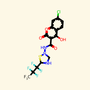 O=C(NN1CNC(C(F)(F)C(F)(F)C(F)(F)F)S1)c1c(O)c2ccc(Cl)cc2oc1=O